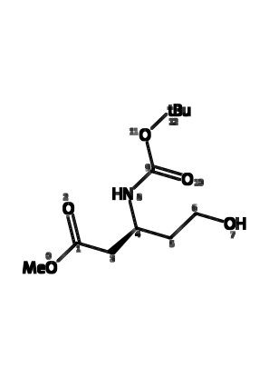 COC(=O)C[C@H](CCO)NC(=O)OC(C)(C)C